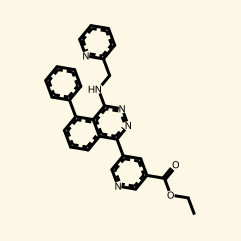 CCOC(=O)c1cncc(-c2nnc(NCc3ccccn3)c3c(-c4ccccc4)cccc23)c1